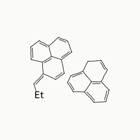 C1=Cc2cccc3cccc(c23)C1.CCC=c1ccc2cccc3cccc1c32